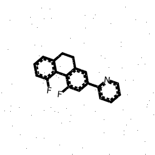 Fc1cccc2c1-c1c(F)cc(-c3ccccn3)cc1CC2